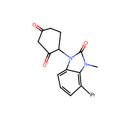 CC(C)c1cccc2c1n(C)c(=O)n2C1CCC(=O)CC1=O